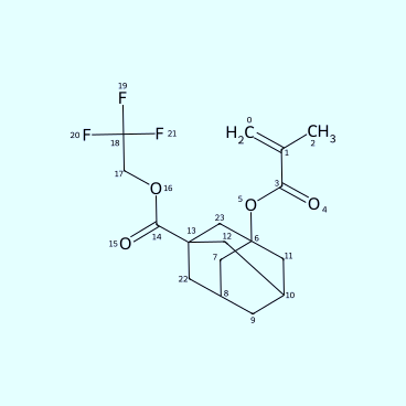 C=C(C)C(=O)OC12CC3CC(C1)CC(C(=O)OCC(F)(F)F)(C3)C2